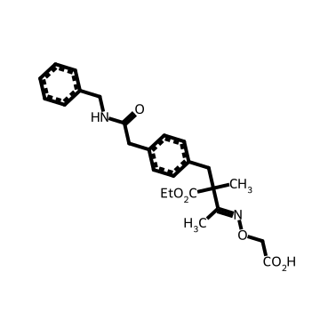 CCOC(=O)C(C)(Cc1ccc(CC(=O)NCc2ccccc2)cc1)/C(C)=N/OCC(=O)O